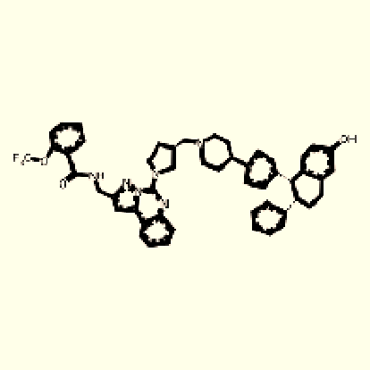 O=C(NCc1cc2c3ccccc3nc(N3CC[C@@H](CN4CCC(c5ccc([C@@H]6c7ccc(O)cc7CC[C@@H]6c6ccccc6)cc5)CC4)C3)n2n1)c1ccccc1OC(F)(F)F